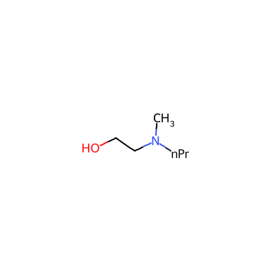 [CH2]CCN(C)CCO